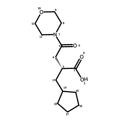 O=C(O)[C@@H](CC(=O)N1CCOCC1)CC1CCCC1